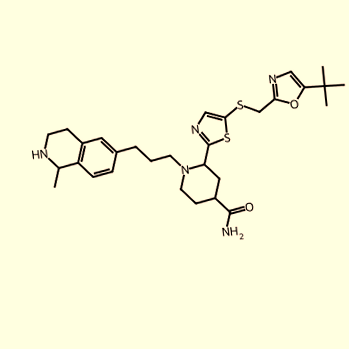 CC1NCCc2cc(CCCN3CCC(C(N)=O)CC3c3ncc(SCc4ncc(C(C)(C)C)o4)s3)ccc21